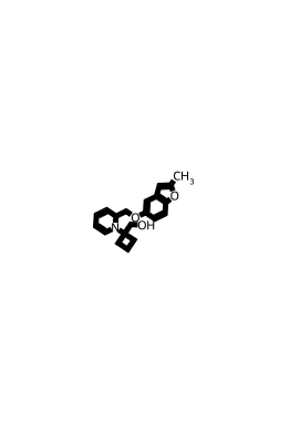 Cc1cc2cc(OCC3C=CC=CN3C3(CO)CCC3)ccc2o1